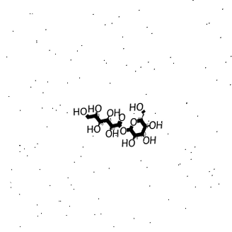 O=C(OC1O[C@H](CO)[C@H](O)[C@H](O)[C@H]1O)[C@@H](O)[C@@H](O)[C@H](O)[C@H](O)CO